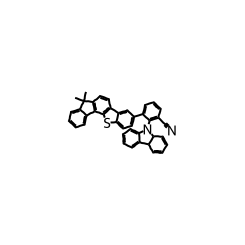 CC1(C)c2ccccc2-c2c1ccc1c2sc2ccc(-c3cccc(C#N)c3N3c4ccccc4C4C=CC=CC43)cc21